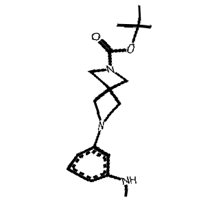 CNc1cccc(N2CC3(CN(C(=O)OC(C)(C)C)C3)C2)c1